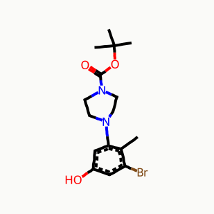 Cc1c(Br)cc(O)cc1N1CCN(C(=O)OC(C)(C)C)CC1